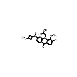 COC1CC(N(C)c2ccc3c(=O)c4ccc(Cl)c(SC)c4n(CC(=O)O)c3n2)C1